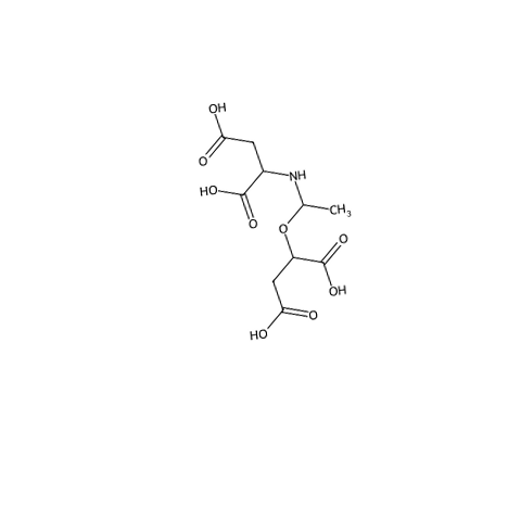 CC(NC(CC(=O)O)C(=O)O)OC(CC(=O)O)C(=O)O